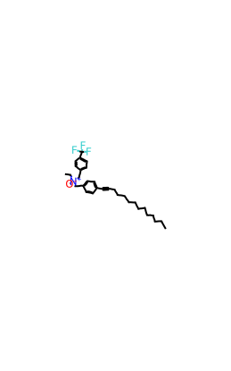 CCCCCCCCCCCCC#Cc1ccc(C[N+]([O-])(CC)Cc2ccc(C(F)(F)F)cc2)cc1